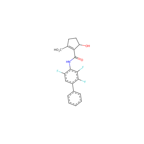 O=C(O)C1=C(C(=O)Nc2c(F)cc(-c3ccccc3)c(F)c2F)C(O)CC1